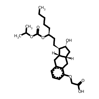 CCCCC[C@@H](CC[C@@H]1[C@H]2Cc3cccc(OCC(=O)O)c3C[C@H]2C[C@H]1O)OC(=O)OC(C)C